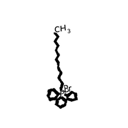 CCCCCCCCCCCCCCP(Br)(c1ccccc1)(c1ccccc1)c1ccccc1